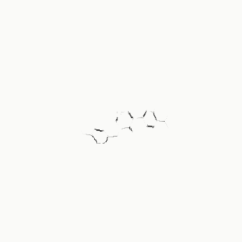 CC(C)c1ccc(-c2cncn(Cc3ccc(Cl)cc3)c2=O)cc1F